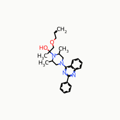 C=CCOCC(C)(O)N1C(C)CN(c2nc(-c3ccccc3)nc3ccccc23)CC1C